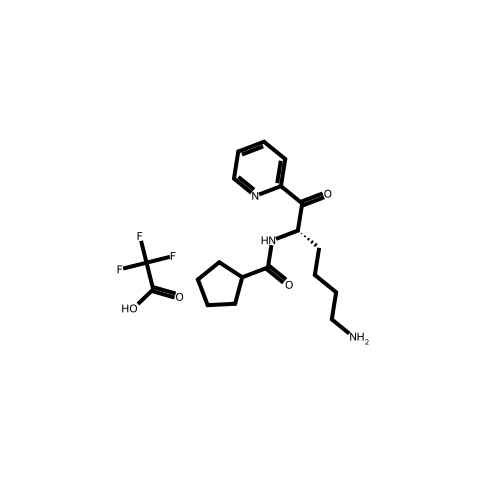 NCCCC[C@H](NC(=O)C1CCCC1)C(=O)c1ccccn1.O=C(O)C(F)(F)F